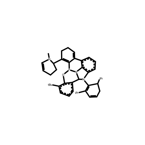 CC(C)C1=C(N2c3cccc4c3N3C2c2cccc(C(C)(C)C)c2OP3C2=C(C3CCC=CN3C)CCC=C24)C(C(C)C)CC=C1